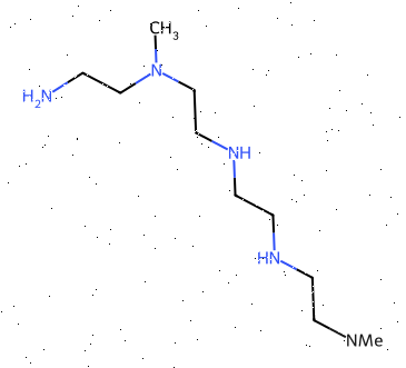 CNCCNCCNCCN(C)CCN